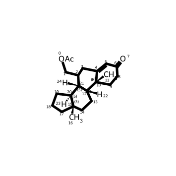 CC(=O)OCC1CC2=CC(=O)CC[C@]2(C)[C@@H]2CC[C@]3(C)CCC[C@H]3[C@H]12